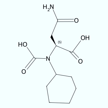 NC(=O)C[C@@H](C(=O)O)N(C(=O)O)C1CCCCC1